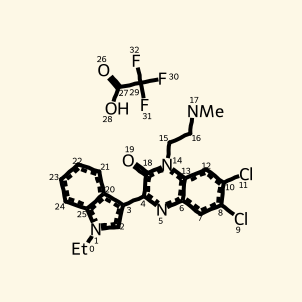 CCn1cc(-c2nc3cc(Cl)c(Cl)cc3n(CCNC)c2=O)c2ccccc21.O=C(O)C(F)(F)F